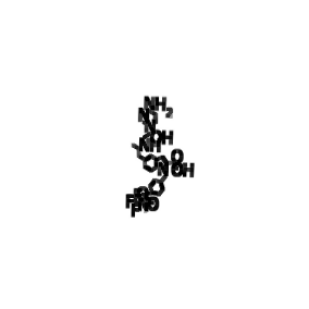 CC(Cc1ccc2c(c1)cc(C(=O)O)n2Cc1ccc(S(=O)(=O)N(C)C(F)(F)F)cc1)NCC(O)N1C=CC(N)=NC1